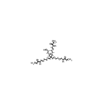 C=CC(=O)NCOCCOCC(COCCO)(COCCOCNC(=O)C=C)COCCOCNC(=O)C=C